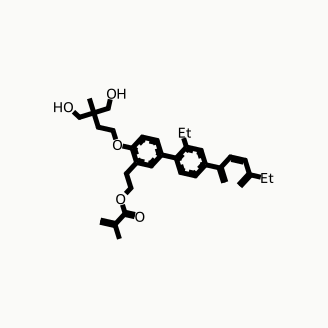 C=C(/C=C\C(=C)c1ccc(-c2ccc(OCCC(C)(CO)CO)c(CCOC(=O)C(=C)C)c2)c(CC)c1)CC